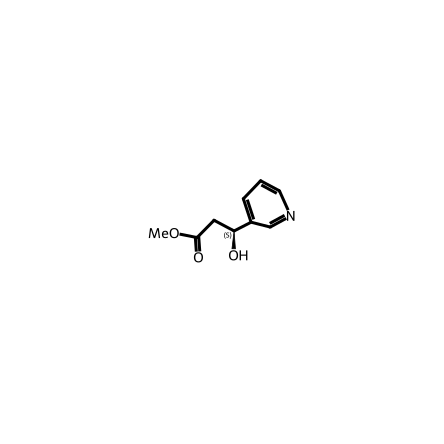 COC(=O)C[C@H](O)c1cccnc1